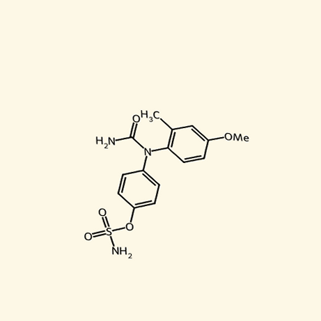 COc1ccc(N(C(N)=O)c2ccc(OS(N)(=O)=O)cc2)c(C)c1